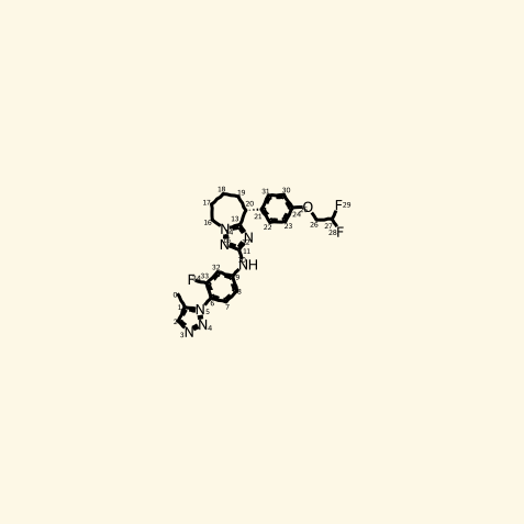 Cc1cnnn1-c1ccc(Nc2nc3n(n2)CCCC[C@@H]3c2ccc(OCC(F)F)cc2)cc1F